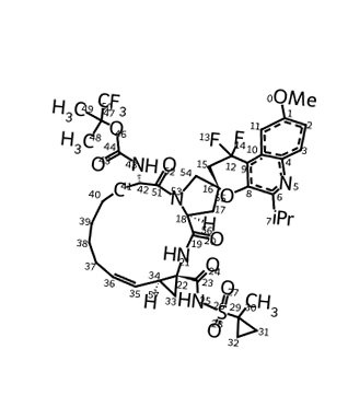 COc1ccc2nc(C(C)C)c3c(c2c1)C(F)(F)C[C@]1(C[C@H]2C(=O)N[C@]4(C(=O)NS(=O)(=O)C5(C)CC5)C[C@H]4/C=C\CCCCC[C@H](NC(=O)OC(C)(C)C(F)(F)F)C(=O)N2C1)O3